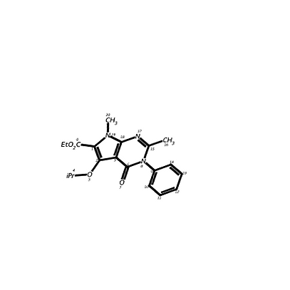 CCOC(=O)c1c(OC(C)C)c2c(=O)n(-c3ccccc3)c(C)nc2n1C